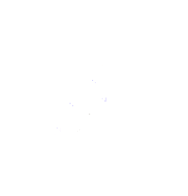 NC(=O)C1(c2ccco2)N=CN(C(=O)CO)N1